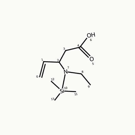 C=CC(CC(=O)O)N(CC)[Si](C)(C)C